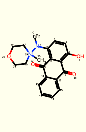 CCCN(c1ccc(O)c2c1C(=O)c1ccccc1C2=O)[N+]1(C)CCOCC1